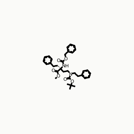 COC(=O)[C@](CCc1ccccc1)(CCN(CCc1ccccc1)C(=O)OC(C)(C)C)NC(=O)OCc1ccccc1